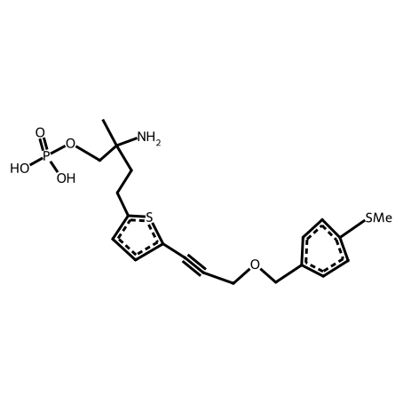 CSc1ccc(COCC#Cc2ccc(CCC(C)(N)COP(=O)(O)O)s2)cc1